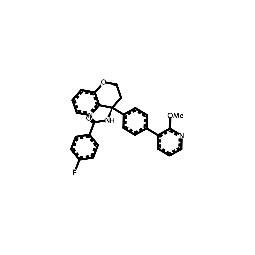 COc1ncccc1-c1ccc([C@@]2(NC(=O)c3ccc(F)cc3)CCOc3cccnc32)cc1